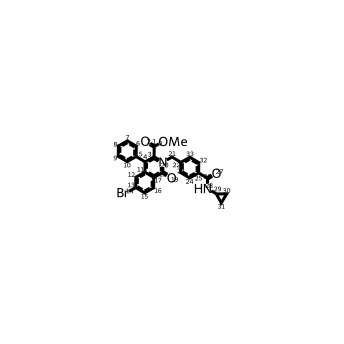 COC(=O)c1c(-c2ccccc2)c2cc(Br)ccc2c(=O)n1Cc1ccc(C(=O)NC2CC2)cc1